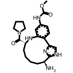 COC(=O)Nc1ccc2c(c1)N[C@@H](C(=O)N1CCCC1)CCCC[C@H](N)c1nc-2c[nH]1